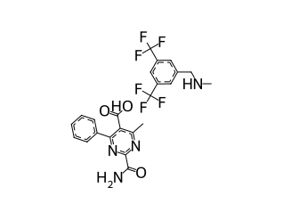 CNCc1cc(C(F)(F)F)cc(C(F)(F)F)c1.Cc1nc(C(N)=O)nc(-c2ccccc2)c1C(=O)O